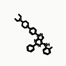 CCN(CC)C1CCN(c2ccc(-n3ncc4c(Nc5ccccc5C)nc(-c5ccccc5)nc43)cc2)CC1